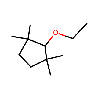 CCOC1C(C)(C)CCC1(C)C